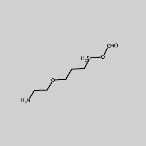 NCCOCCC[SiH2]OC=O